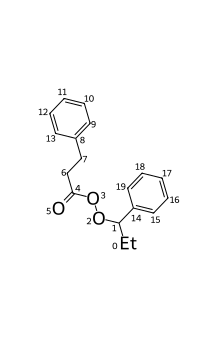 CCC(OOC(=O)CCc1ccccc1)c1ccccc1